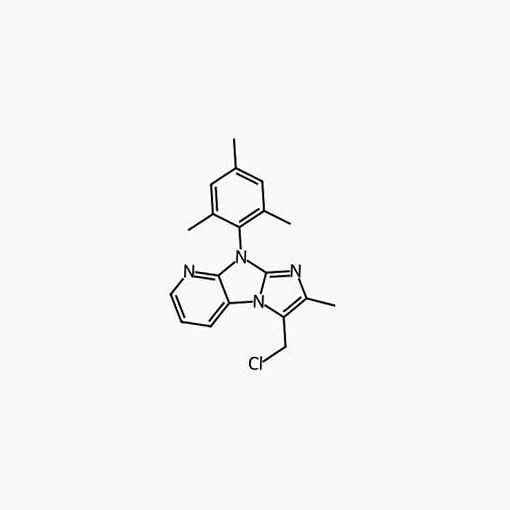 Cc1cc(C)c(-n2c3ncccc3n3c(CCl)c(C)nc23)c(C)c1